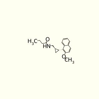 CCCC(=O)NC[C@@H]1C[C@H]1c1c(OC)ccc2ccccc12